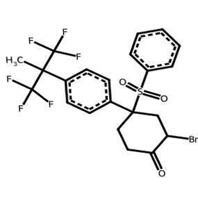 CC(c1ccc(C2(S(=O)(=O)c3ccccc3)CCC(=O)C(Br)C2)cc1)(C(F)(F)F)C(F)(F)F